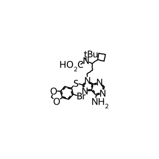 CC(C)(C)N(C(=O)O)C(CCn1c(Sc2cc3c(cc2Br)OCO3)nc2c(N)ncnc21)C1CCC1